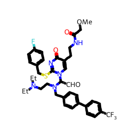 CCN(CC)CCN(Cc1ccc(-c2ccc(C(F)(F)F)cc2)cc1)C(C=O)n1cc(CCNC(=O)COC)c(=O)nc1SCc1ccc(F)cc1